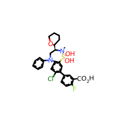 CN1[C@H](C2CCCCO2)CN(c2ccccc2)c2cc(Cl)c(-c3ccc(F)c(C(=O)O)c3)cc2S1(O)O